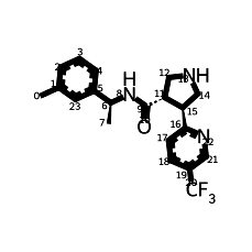 Cc1cccc([C@H](C)NC(=O)[C@@H]2CNC[C@H]2c2ccc(C(F)(F)F)cn2)c1